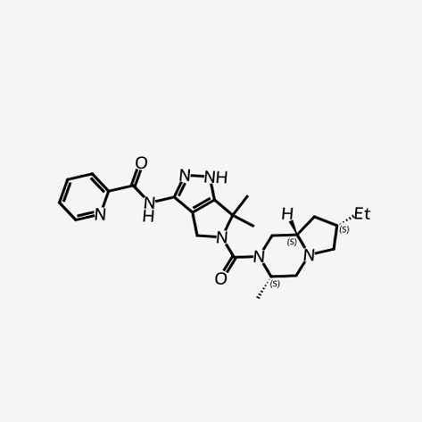 CC[C@H]1C[C@H]2CN(C(=O)N3Cc4c(NC(=O)c5ccccn5)n[nH]c4C3(C)C)[C@@H](C)CN2C1